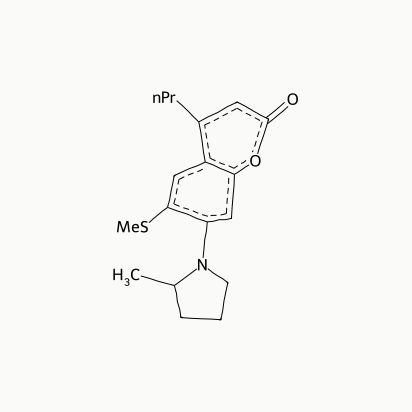 CCCc1cc(=O)oc2cc(N3CCCC3C)c(SC)cc12